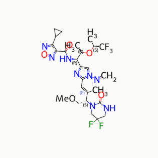 C=Nn1cc([C@@H](NC(=O)c2nonc2C2CC2)[C@@H](C)O[C@@H](C)C(F)(F)F)nc1/C=C(\C)[C@@H](COC)N1CC(F)(F)CNC1=O